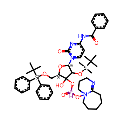 CC(C)(C)[Si](C)(C)OC1[C@H](n2ccc(NC(=O)c3ccccc3)nc2=O)O[C@H](CO[Si](c2ccccc2)(c2ccccc2)C(C)(C)C)C1(O)O[PH](=O)O[N+]12CCCCCC1=NCCC2